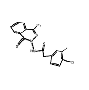 O=C(Cc1ccc(Cl)c(F)c1)Nn1nc(C(F)(F)F)c2ccccc2c1=O